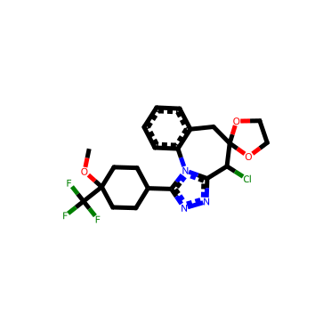 COC1(C(F)(F)F)CCC(c2nnc3n2-c2ccccc2CC2(OCCO2)C3Cl)CC1